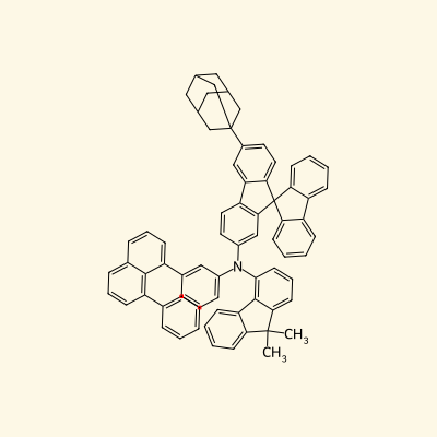 CC1(C)c2ccccc2-c2c(N(c3cccc(-c4cccc5cccc(-c6ccccc6)c45)c3)c3ccc4c(c3)C3(c5ccccc5-c5ccccc53)c3ccc(C56CC7CC(CC(C7)C5)C6)cc3-4)cccc21